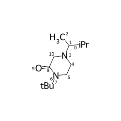 CC(C)C(C)N1CCN(C(C)(C)C)C(=O)C1